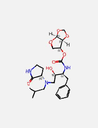 CC(C)CN(C[C@@H](O)[C@H](Cc1ccccc1)NC(=O)O[C@H]1CO[C@H]2OCO[C@H]21)[C@H]1CCNC1=O